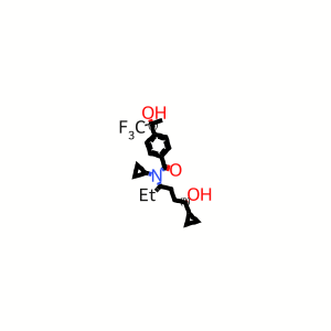 CCC(CC[C@@H](O)C1CC1)N(C(=O)c1ccc([C@](C)(O)C(F)(F)F)cc1)C1CC1